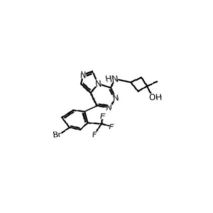 CC1(O)CC(Nc2nnc(-c3ccc(Br)cc3C(F)(F)F)c3cncn23)C1